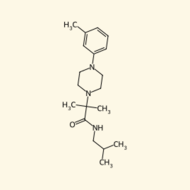 Cc1cccc(N2CCN(C(C)(C)C(=O)NCC(C)C)CC2)c1